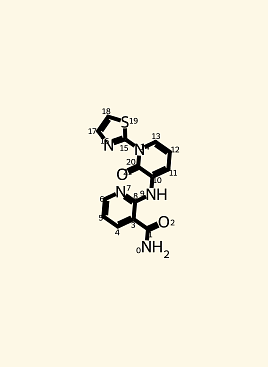 NC(=O)c1cccnc1Nc1cccn(-c2nccs2)c1=O